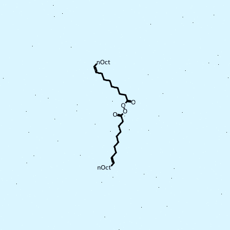 CCCCCCCCC=CCCCCCCCC(=O)OOC(=O)CCCCCCC/C=C\CCCCCCCC